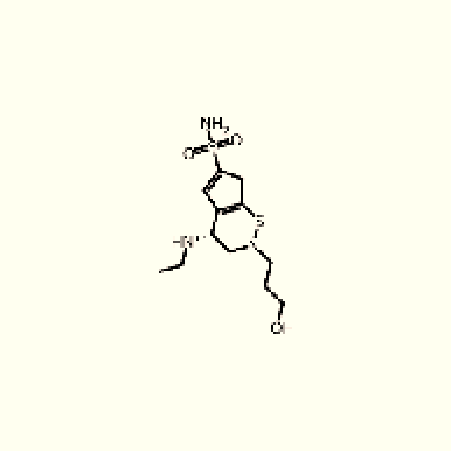 CCN[C@H]1CN(CCCO)SC2=C1C=C(S(N)(=O)=O)C2